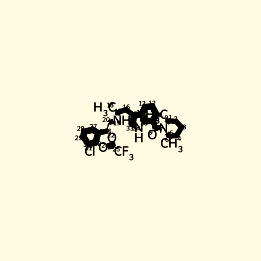 CC1CCCC(C)N1C(=O)c1cccc2c(C[C@@H](C)NC[C@H](OC(=O)C(F)(F)F)c3cccc(Cl)c3)c[nH]c12